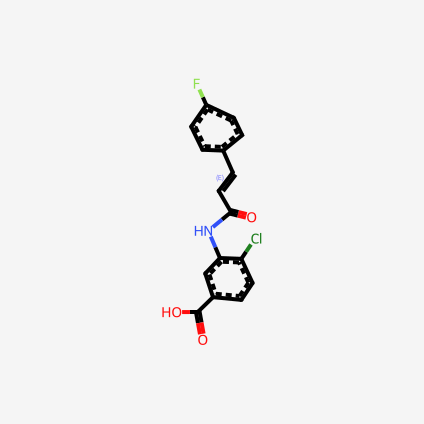 O=C(/C=C/c1ccc(F)cc1)Nc1cc(C(=O)O)ccc1Cl